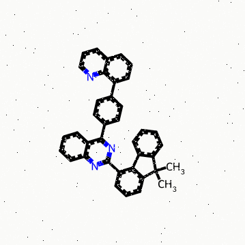 CC1(C)c2ccccc2-c2c(-c3nc(-c4ccc(-c5cccc6cccnc56)cc4)c4ccccc4n3)cccc21